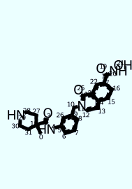 CC1(C(=O)Nc2cccc(Cn3ccc4ccc(C(=O)NO)cc4c3=O)c2)CCNCC1